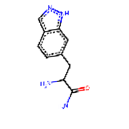 NC(=O)C(N)Cc1ccc2cn[nH]c2c1